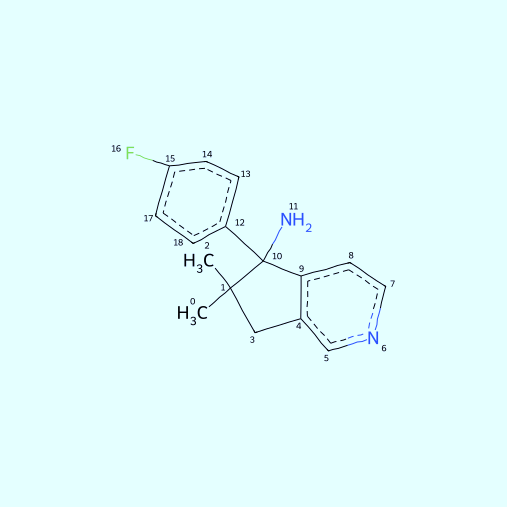 CC1(C)Cc2cnccc2C1(N)c1ccc(F)cc1